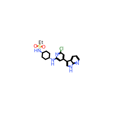 CCS(=O)(=O)N[C@H]1CC[C@H](Nc2cc(-c3c[nH]c4ncccc34)cc(Cl)n2)CC1